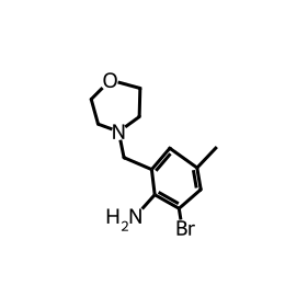 Cc1cc(Br)c(N)c(CN2CCOCC2)c1